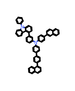 c1ccc(-n2c3ccccc3c3c(-c4cccc(N(c5ccc(-c6ccc(-c7cccc8ccccc78)cc6)cc5)c5ccc(-c6ccc7ccccc7c6)cc5)c4)cccc32)cc1